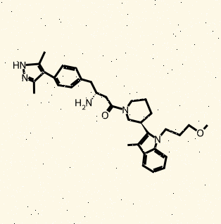 COCCCn1c([C@@H]2CCCN(C(=O)C[C@H](N)Cc3ccc(-c4c(C)n[nH]c4C)cc3)C2)c(C)c2ccccc21